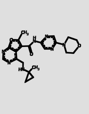 Cc1oc2ncnc(CNC3(C)CC3)c2c1C(=O)Nc1cnc(N2CCOCC2)cn1